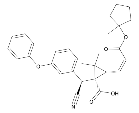 CC1(OC(=O)/C=C\[C@H]2C(C)(C)[C@]2(C(=O)O)[C@@H](C#N)c2cccc(Oc3ccccc3)c2)CCCC1